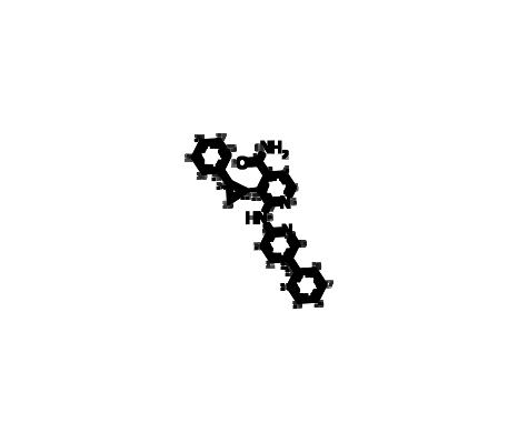 NC(=O)c1ccnc(Nc2ccc(-c3ccccc3)cn2)c1[C@H]1CC1c1ccccc1